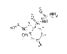 C[C@H]1CC[C@@](CN(O)C=O)(C(=O)NC(N)=O)CC1